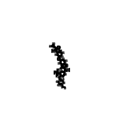 CCN1CCN(Cc2ccc(Nc3nc4ccc(Oc5ccnc(NC(=O)C6CC6)c5)cc4n3C)cc2C(F)(F)F)CC1